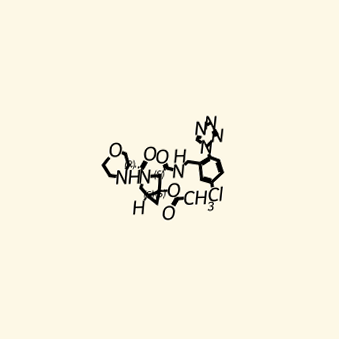 CC(=O)O[C@@]12C[C@H]1CN(C(=O)[C@H]1COCCN1)[C@@H]2C(=O)NCc1cc(Cl)ccc1-n1cnnn1